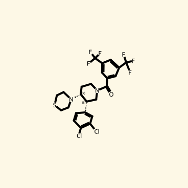 O=C(c1cc(C(F)(F)F)cc(C(F)(F)F)c1)N1CC[C@@H](N2CCSCC2)[C@@H](c2ccc(Cl)c(Cl)c2)C1